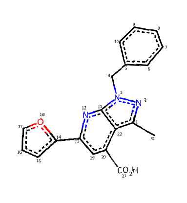 Cc1nn(Cc2ccccc2)c2nc(-c3ccco3)cc(C(=O)O)c12